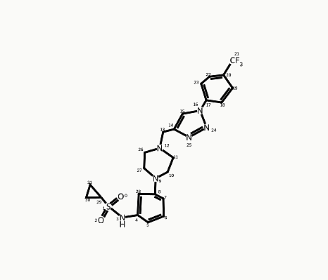 O=S(=O)(Nc1cccc(N2CCN(Cc3cn(-c4ccc(C(F)(F)F)cc4)nn3)CC2)c1)C1CC1